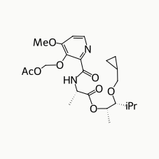 COc1ccnc(C(=O)N[C@@H](C)C(=O)O[C@@H](C)[C@H](OCC2CC2)C(C)C)c1OCOC(C)=O